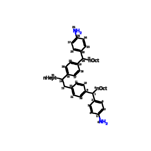 CCCCCCCCC(c1ccc(N)cc1)c1ccc(CC(CCCCCCC)c2ccc(C(CCCCCCCC)c3ccc(N)cc3)cc2)cc1